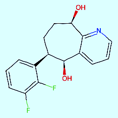 O[C@@H]1CC[C@H](c2cccc(F)c2F)[C@H](O)c2cccnc21